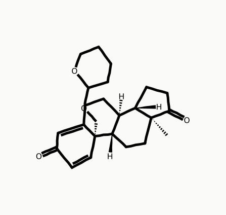 C[C@]12CC[C@H]3[C@@H](CCC4=CC(=O)C=C[C@@]43COC3CCCCO3)[C@@H]1CCC2=O